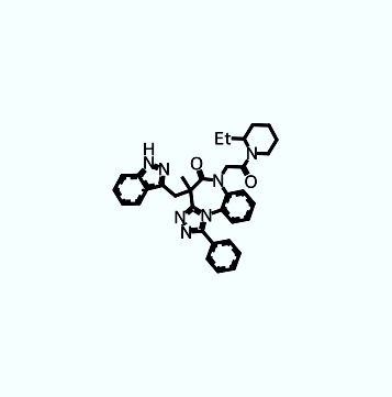 CCC1CCCCN1C(=O)CN1C(=O)C(C)(Cc2n[nH]c3ccccc23)c2nnc(-c3ccccc3)n2-c2ccccc21